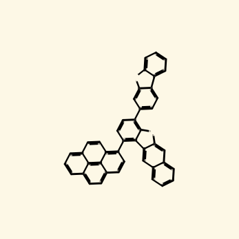 c1ccc2cc3c(cc2c1)oc1c(-c2ccc4c(c2)sc2ccccc24)ccc(-c2ccc4ccc5cccc6ccc2c4c56)c13